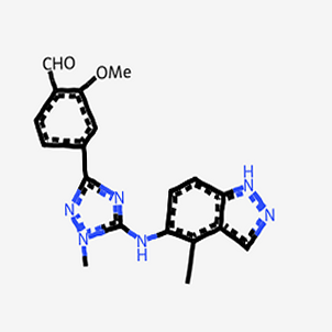 COc1cc(-c2nc(Nc3ccc4[nH]ncc4c3C)n(C)n2)ccc1C=O